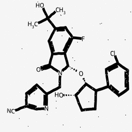 CC(C)(O)c1cc(F)c2c(c1)C(=O)N(Cc1ccc(C#N)cn1)[C@H]2O[C@@H]1C(c2cccc(Cl)c2)CC[C@@H]1O